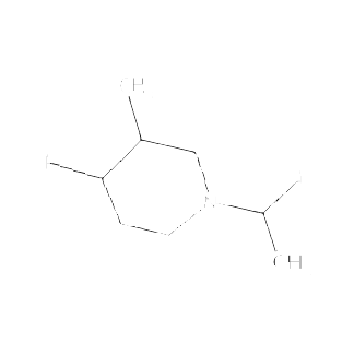 CC1CN(C(C)I)CCC1I